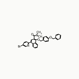 CN(C)C(=O)c1cc(-c2ccc(Br)cn2)c2ccccc2c1OCc1ccc(OCc2ccccc2)cc1